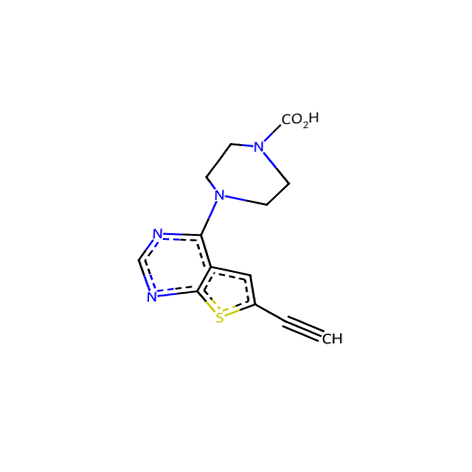 C#Cc1cc2c(N3CCN(C(=O)O)CC3)ncnc2s1